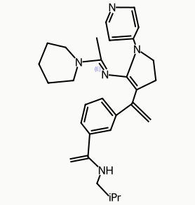 C=C(NCC(C)C)c1cccc(C(=C)C2=C(/N=C(\C)N3CCCCC3)N(c3ccncc3)CC2)c1